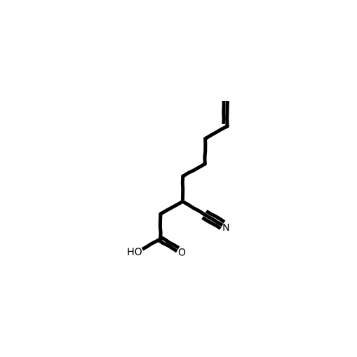 C=CCCCC(C#N)CC(=O)O